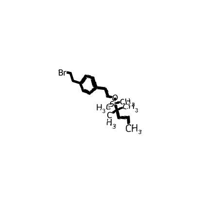 CCCC(C)(C)[Si](C)(C)OCCc1ccc(CCBr)cc1